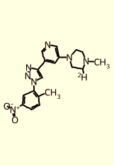 [2H]C1CN(c2cncc(-c3cn(-c4cc([N+](=O)[O-])ccc4C)nn3)c2)CCN1C